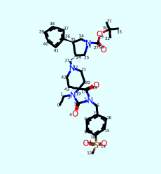 CCN1C(=O)N(Cc2ccc(S(C)(=O)=O)cc2)C(=O)C12CCN(C[C@H]1CN(C(=O)OC(C)(C)C)C[C@@H]1c1ccccc1)CC2